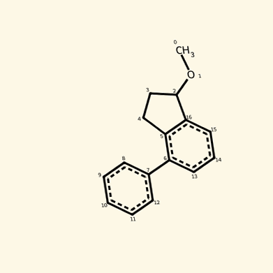 COC1CCc2c(-c3ccccc3)cccc21